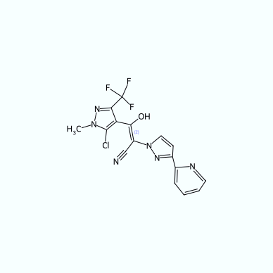 Cn1nc(C(F)(F)F)c(/C(O)=C(\C#N)n2ccc(-c3ccccn3)n2)c1Cl